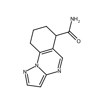 NC(=O)C1CCCc2c1cnc1ccnn21